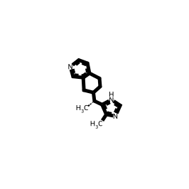 Cc1nc[nH]c1[C@H](C)C1CCc2ccncc2C1